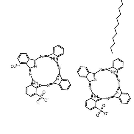 CCCCCCCCCCCCN.O=S(=O)([O-])c1cccc2c3nc4nc(nc5[nH]c(nc6nc(nc([nH]3)c12)-c1ccccc1-6)c1ccccc51)-c1ccccc1-4.O=S(=O)([O-])c1cccc2c3nc4nc(nc5[nH]c(nc6nc(nc([nH]3)c12)-c1ccccc1-6)c1ccccc51)-c1ccccc1-4.[Cu+2]